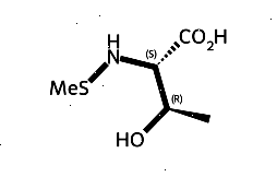 CSN[C@H](C(=O)O)[C@@H](C)O